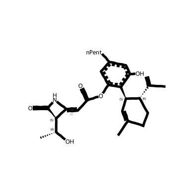 C=C(C)[C@@H]1CCC(C)=C[C@H]1c1c(O)cc(CCCCC)cc1OC(=O)/C=C1\NC(=O)[C@@H]1[C@@H](C)O